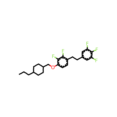 CCCC1CCC(COc2ccc(CCc3cc(F)c(F)c(F)c3)c(F)c2F)CC1